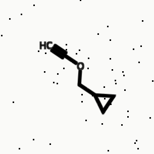 C#COCC1CC1